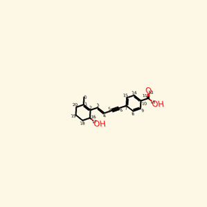 CC1=C(C=CC#Cc2ccc(C(=O)O)cc2)C(O)CCC1